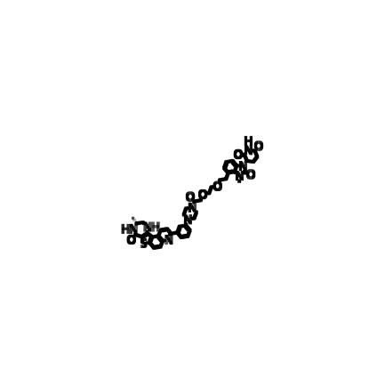 C[C@@H]1CNc2c(sc3ccc4nc(-c5cccc(N6CCN(C(=O)COCCOCCc7cccc8c7n(C)c(=O)n8C7CCC(=O)NC7=O)CC6)c5)ccc4c23)C(=O)N1